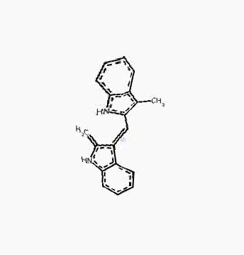 C=c1[nH]c2ccccc2/c1=C/c1[nH]c2ccccc2c1C